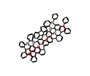 C1=CCC(C2=C(N3c4cc5c(cc4B4c6ccccc6N(c6ccccc6)c6cc(C(c7ccccc7)c7ccccc7)cc3c64)C3(c4cc6c(cc4S5)N(C4=C(C5C=CC=CC5)C=CCC4C4=CCCC=C4)c4cc(N(c5ccccc5)c5ccccc5-c5ccccc5)cc5c4B6c4ccccc4N5c4ccccc4-c4ccccc4)c4ccccc4-c4ccccc43)C(C3=CCCC=C3)CC=C2)C=C1